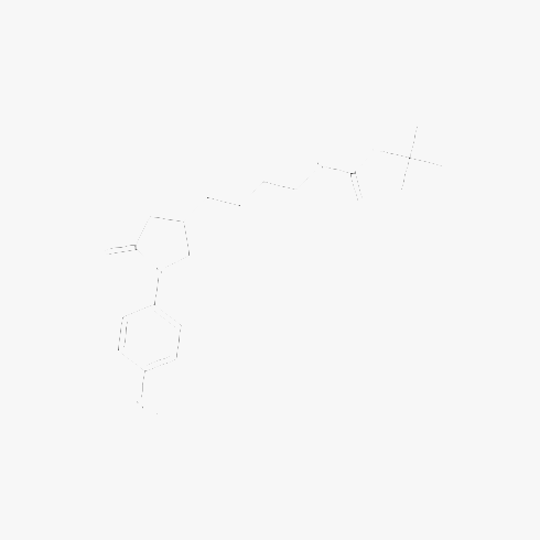 CC(C)(C)OC(=O)NCCCCC1CC(=O)N(c2ccc(N)cc2)C1